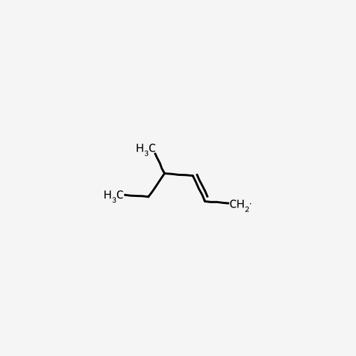 [CH2]C=CC(C)CC